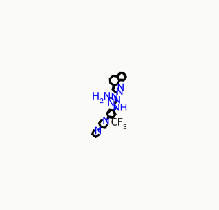 Nc1nc(Nc2ccc(N3CCC(N4CCCC4)CC3)c(C(F)(F)F)c2)nn1-c1cc2c(nn1)-c1ccccc1CCC2